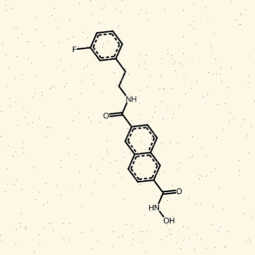 O=C(NO)c1ccc2cc(C(=O)NCCc3cccc(F)c3)ccc2c1